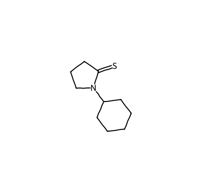 S=C1CCCN1C1CCCCC1